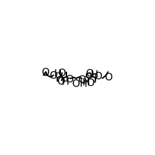 OC(CO[C@H]1CO[C@H]2[C@@H]1OC[C@H]2OCC1CO1)CO[C@@H]1CO[C@H]2[C@@H]1OC[C@@H]2OCC1CO1